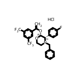 C=C(O[C@H]1OCCN(Cc2ccccc2)[C@H]1c1ccc(F)cc1)c1cc(C(F)(F)F)cc(C(F)(F)F)c1.Cl